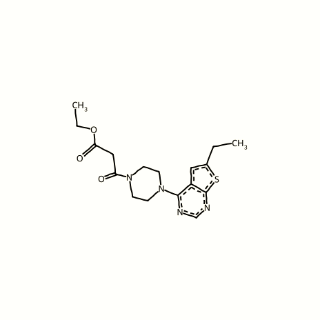 CCOC(=O)CC(=O)N1CCN(c2ncnc3sc(CC)cc23)CC1